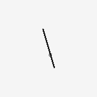 CCCCCCCCCCCCCCCCCCCCCCC[CH]OCCCCCCCCCCCC